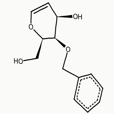 OC[C@H]1OC=C[C@@H](O)[C@H]1OCc1ccccc1